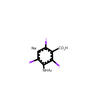 CC(=O)Nc1c(I)cc(I)c(C(=O)O)c1I.[Na]